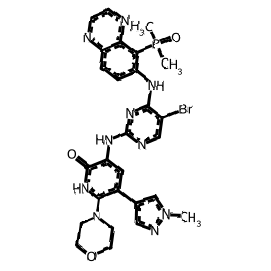 Cn1cc(-c2cc(Nc3ncc(Br)c(Nc4ccc5nccnc5c4P(C)(C)=O)n3)c(=O)[nH]c2N2CCOCC2)cn1